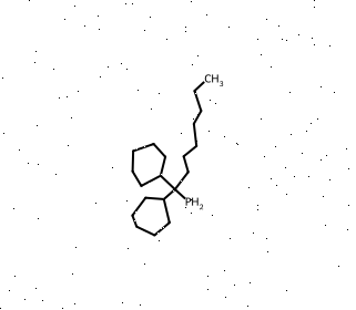 CCCCCCCC(P)(C1CCCCC1)C1CCCCC1